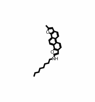 CCCCCCCCNc1cc2ccc3c4ccc5cc(C)oc5c4ccc3c2o1